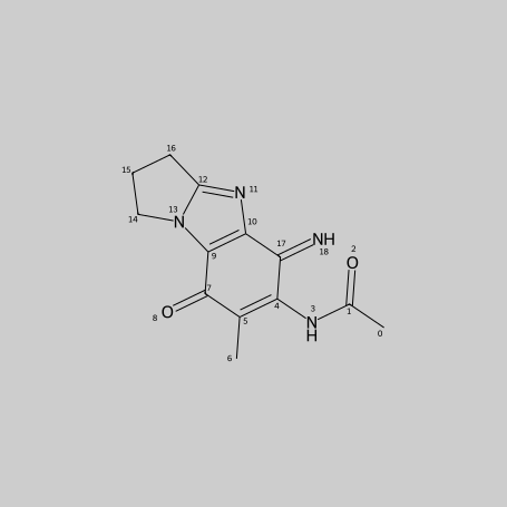 CC(=O)NC1=C(C)C(=O)c2c(nc3n2CCC3)C1=N